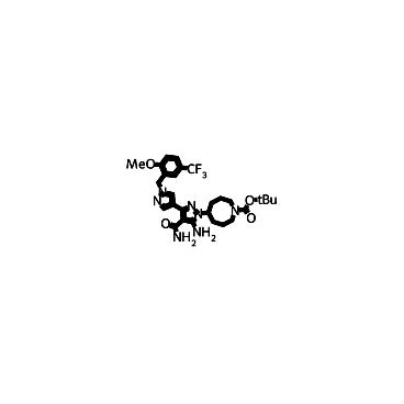 COc1ccc(C(F)(F)F)cc1Cn1cc(-c2nn(C3CCCN(C(=O)OC(C)(C)C)CCC3)c(N)c2C(N)=O)cn1